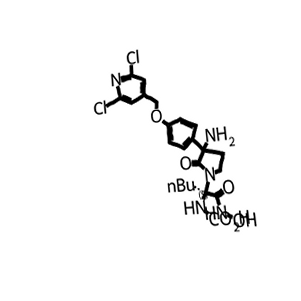 CCCC[C@@](NC(=O)O)(C(=O)NO)N1CCC(N)(c2ccc(OCc3cc(Cl)nc(Cl)c3)cc2)C1=O